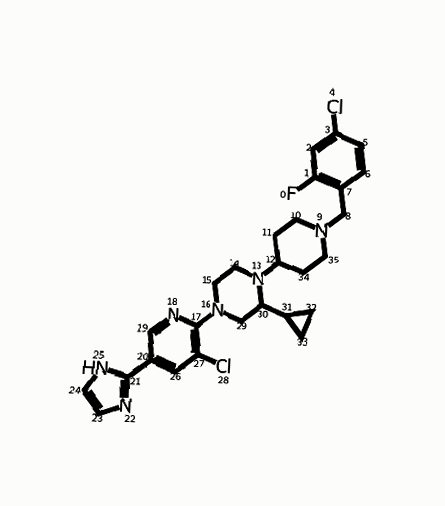 Fc1cc(Cl)ccc1CN1CCC(N2CCN(c3ncc(-c4ncc[nH]4)cc3Cl)CC2C2CC2)CC1